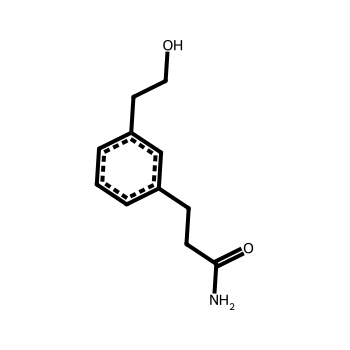 NC(=O)CCc1cccc(CCO)c1